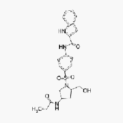 C=CC(=O)NC1CC(CO)N(S(=O)(=O)c2ccc(NC(=O)c3cc4ccccc4[nH]3)cc2)C1